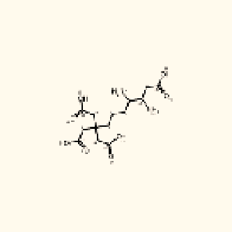 NC(CCCC(CC(=O)O)(CC(=O)O)CC(=O)O)C(N)CC(=O)O